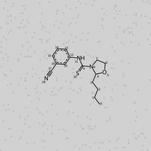 CCCCC1OCCN1C(=S)Nc1cccc(C#N)c1